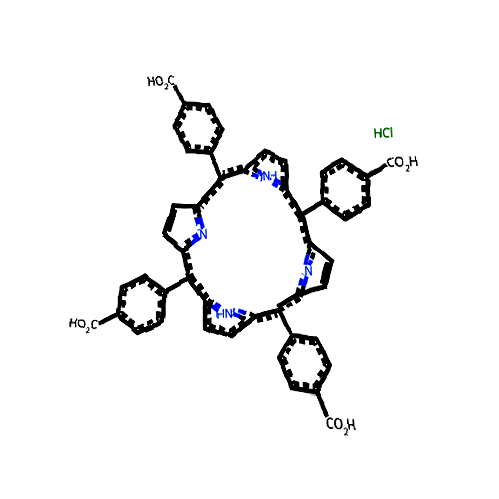 Cl.O=C(O)c1ccc(-c2c3nc(c(-c4ccc(C(=O)O)cc4)c4ccc([nH]4)c(-c4ccc(C(=O)O)cc4)c4nc(c(-c5ccc(C(=O)O)cc5)c5ccc2[nH]5)C=C4)C=C3)cc1